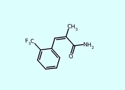 CC(=Cc1ccccc1C(F)(F)F)C(N)=O